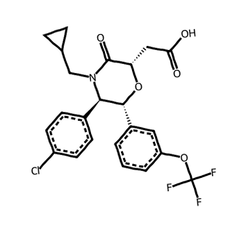 O=C(O)C[C@@H]1O[C@H](c2cccc(OC(F)(F)F)c2)[C@@H](c2ccc(Cl)cc2)N(CC2CC2)C1=O